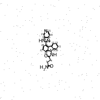 NC(=O)CCC(=O)NC1c2ccccc2-c2c(-c3nc4ccncc4[nH]3)cccc21